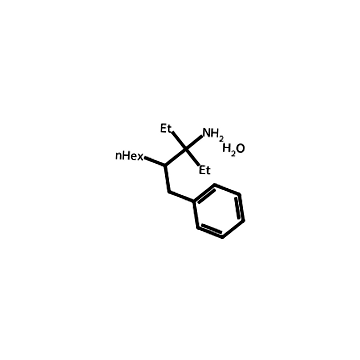 CCCCCCC(Cc1ccccc1)C(N)(CC)CC.O